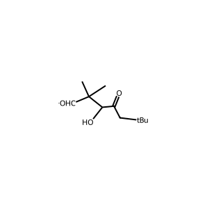 CC(C)(C)CC(=O)C(O)C(C)(C)[C]=O